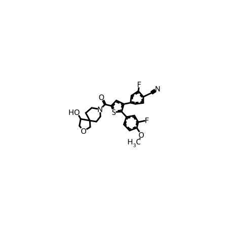 COc1ccc(-c2sc(C(=O)N3CCC4(CC3)COCC4O)cc2-c2ccc(C#N)c(F)c2)cc1F